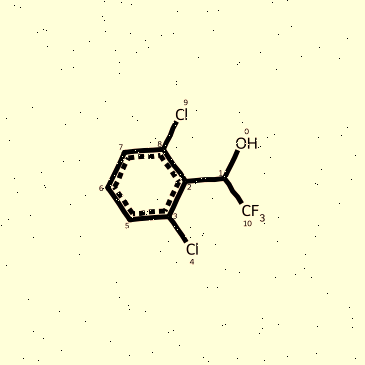 OC(c1c(Cl)cccc1Cl)C(F)(F)F